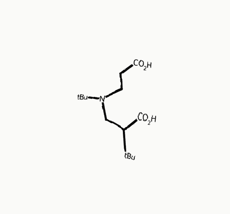 CC(C)(C)C(CN(CCC(=O)O)C(C)(C)C)C(=O)O